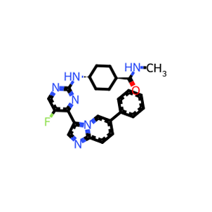 CNC(=O)[C@H]1CC[C@H](Nc2ncc(F)c(-c3cnc4ccc(-c5ccccc5)cn34)n2)CC1